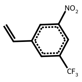 C=Cc1cc([N+](=O)[O-])cc(C(F)(F)F)c1